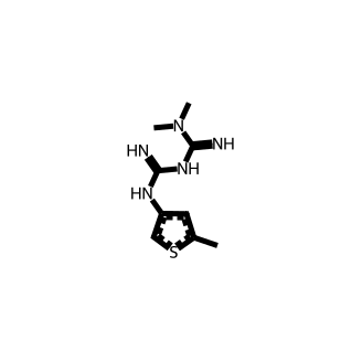 Cc1cc(NC(=N)NC(=N)N(C)C)cs1